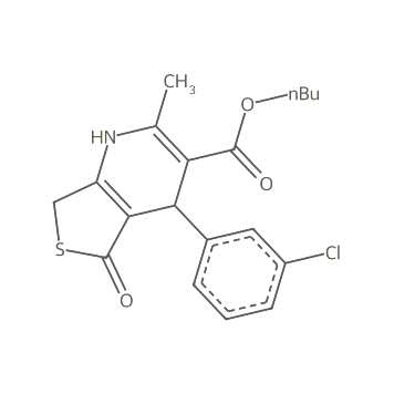 CCCCOC(=O)C1=C(C)NC2=C(C(=O)SC2)C1c1cccc(Cl)c1